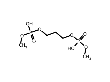 COP(=O)(O)OCCCOP(=O)(O)OC